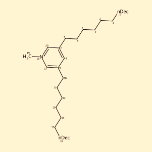 CCCCCCCCCCCCCCCCc1cc(CCCCCCCCCCCCCCCC)c[n+](C)c1